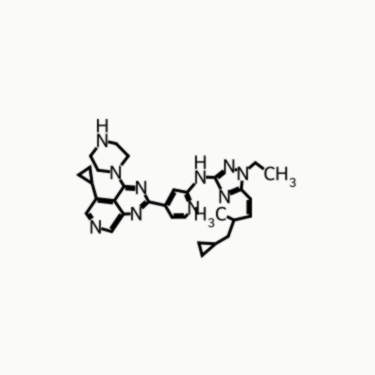 CCn1nc(Nc2cc(-c3nc(N4CCNCC4)c4c(C5CC5)cncc4n3)ccn2)nc1/C=C\C(C)CC1CC1